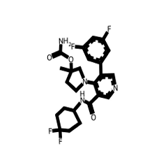 CC1(OC(N)=O)CCN(c2c(C(=O)NC3CCC(F)(F)CC3)cncc2-c2cc(F)cc(F)c2)C1